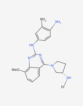 CCN[C@H]1CCN(c2nc(Nc3ccc(N)c([N+](=O)[O-])c3)nc3c(OC)cccc23)C1